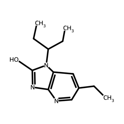 CCc1cnc2nc(O)n(C(CC)CC)c2c1